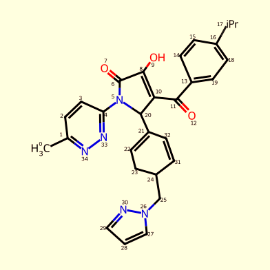 Cc1ccc(N2C(=O)C(O)=C(C(=O)c3ccc(C(C)C)cc3)C2C2=CCC(Cn3cccn3)C=C2)nn1